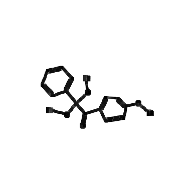 CCOc1ccc(C(=O)C(OCC)(OCC)c2ccccc2)cc1